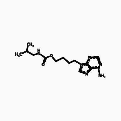 CC(C)CNC(=O)OCCCCn1cnc2c(N)ncnc21